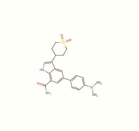 CN(C)c1ccc(-c2cc(C(N)=O)c3[nH]cc(C4CCS(=O)(=O)CC4)c3c2)cc1